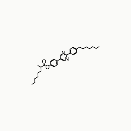 CCCCCCCc1ccc(-c2ncc(-c3ccc(OC(=O)C(C)CCCCCC)cc3)cn2)cc1